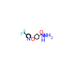 NNC(=O)[C@H]1CC[C@H](Oc2ccc(C(F)F)cn2)CC1